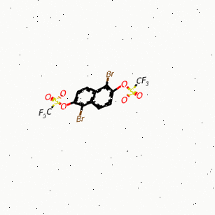 O=S(=O)(Oc1ccc2c(Br)c(OS(=O)(=O)C(F)(F)F)ccc2c1Br)C(F)(F)F